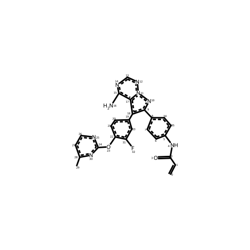 C=CC(=O)Nc1ccc(-c2nn3ncnc(N)c3c2-c2ccc(Oc3nccc(C)n3)c(F)c2)cc1